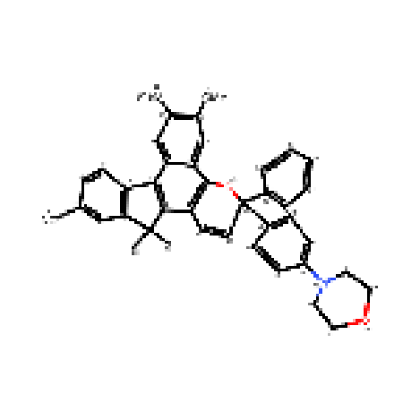 COc1cc2c3c(c4c(c2cc1OC)-c1ccc(C#N)cc1C4(C)C)C=CC(c1ccccc1)(c1ccc(N2CCOCC2)cc1)O3